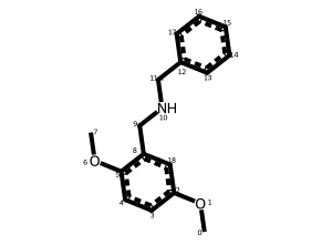 COc1ccc(OC)c(CN[CH]c2ccccc2)c1